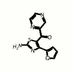 Nc1nc(-c2ccco2)c(C(=O)c2cnccn2)s1